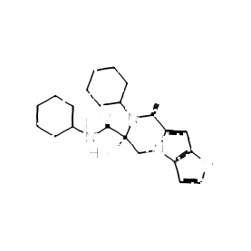 CC1(C(=O)NC2CCCCC2)Cn2c(cc3occc32)C(=O)N1C1CCCCC1